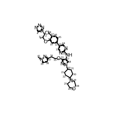 C[C@@H](Cn1cnnn1)Oc1cc(-c2cnc(Nc3cn(C4CCC(N5CCOCC5)CC4)nc3OCCc3ccn(C)n3)nc2)ccc1Cl